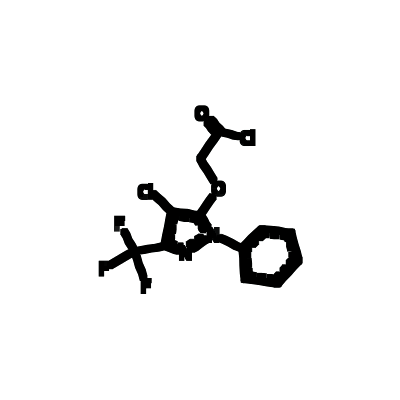 O=C(Cl)COc1c(Cl)c(C(F)(F)F)nn1-c1ccccc1